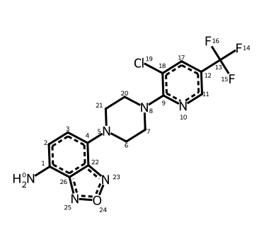 Nc1ccc(N2CCN(c3ncc(C(F)(F)F)cc3Cl)CC2)c2nonc12